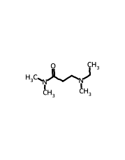 CCN(C)CCC(=O)N(C)C